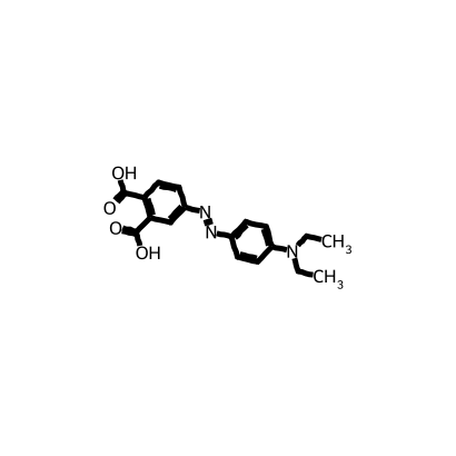 CCN(CC)c1ccc(N=Nc2ccc(C(=O)O)c(C(=O)O)c2)cc1